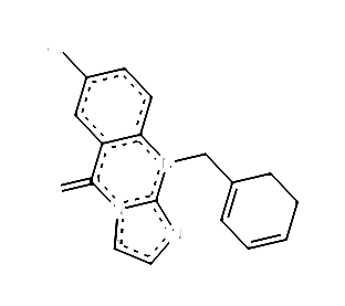 O=c1c2cc(Cl)ccc2n(CC2=CC=CCC2)c2nccn12